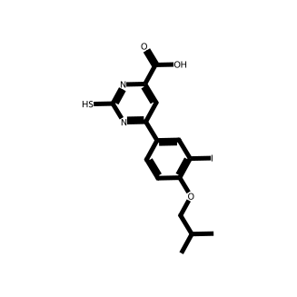 CC(C)COc1ccc(-c2cc(C(=O)O)nc(S)n2)cc1I